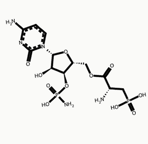 Nc1ccn([C@@H]2O[C@H](COC(=O)[C@@H](N)CP(=O)(O)O)[C@@H](OP(N)(=O)O)[C@H]2O)c(=O)n1